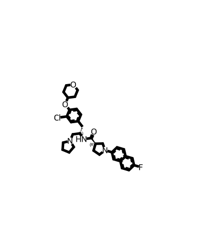 O=C(N[C@@H](Cc1ccc(OC2CCOCC2)c(Cl)c1)CN1CCCC1)[C@@H]1CCN(c2ccc3cc(F)ccc3c2)C1